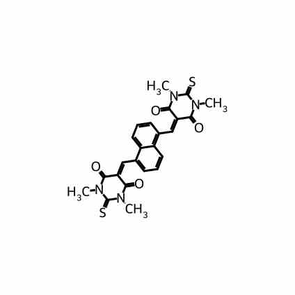 CN1C(=O)C(=Cc2cccc3c(C=C4C(=O)N(C)C(=S)N(C)C4=O)cccc23)C(=O)N(C)C1=S